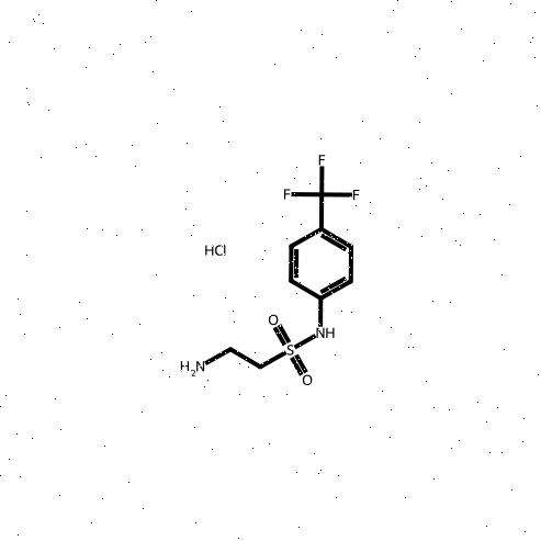 Cl.NCCS(=O)(=O)Nc1ccc(C(F)(F)F)cc1